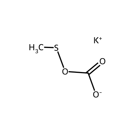 CSOC(=O)[O-].[K+]